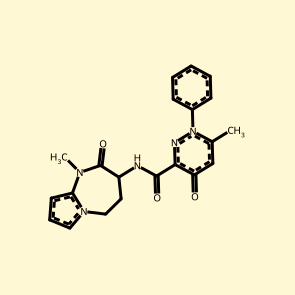 Cc1cc(=O)c(C(=O)NC2CCn3cccc3N(C)C2=O)nn1-c1ccccc1